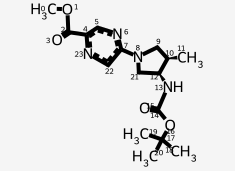 COC(=O)c1cnc(N2C[C@@H](C)[C@@H](NC(=O)OC(C)(C)C)C2)cn1